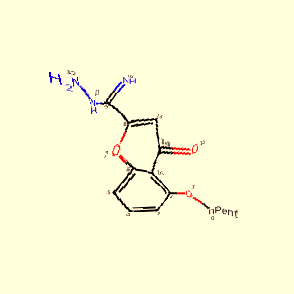 CCCCCOc1cccc2oc(C(=N)NN)cc(=O)c12